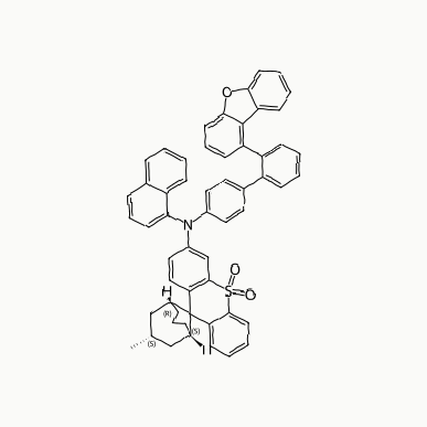 C[C@@H]1C[C@H]2CCC[C@@H](C1)C21c2ccccc2S(=O)(=O)c2cc(N(c3ccc(-c4ccccc4-c4cccc5oc6ccccc6c45)cc3)c3cccc4ccccc34)ccc21